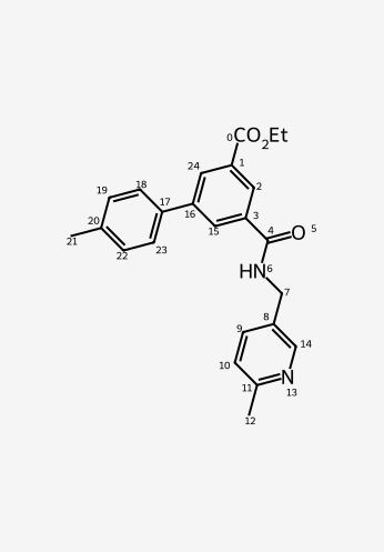 CCOC(=O)c1cc(C(=O)NCc2ccc(C)nc2)cc(-c2ccc(C)cc2)c1